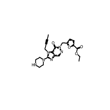 CC#CCn1c(N2CCNCC2)nc2cnn(Cc3ccc(C(=O)OCC)o3)c(=O)c21